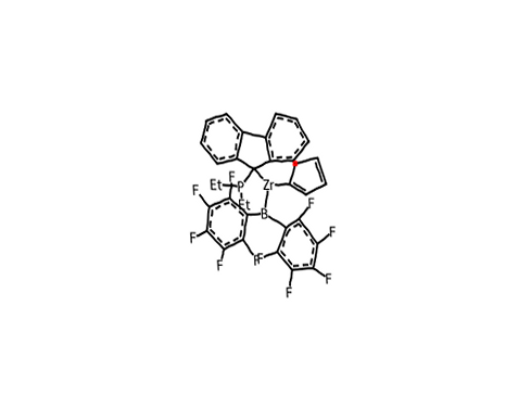 CCP(CC)[C]1([Zr]([B](c2c(F)c(F)c(F)c(F)c2F)c2c(F)c(F)c(F)c(F)c2F)[C]2=CC=CC2)c2ccccc2-c2ccccc21